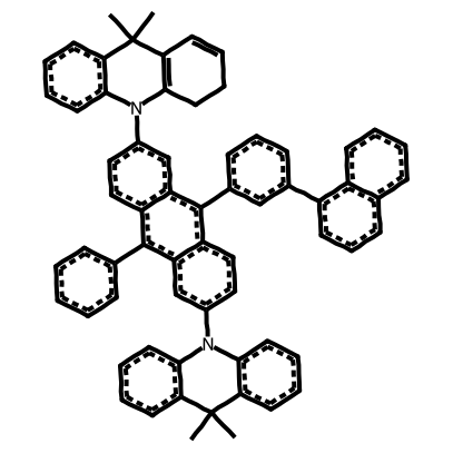 CC1(C)C2=C(CCC=C2)N(c2ccc3c(-c4ccccc4)c4cc(N5c6ccccc6C(C)(C)c6ccccc65)ccc4c(-c4cccc(-c5cccc6ccccc56)c4)c3c2)c2ccccc21